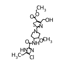 CCOC(=O)c1sc(N2CCC(NC(=O)c3nc(Cl)c(CC)[nH]3)C(OC)C2)nc1CO